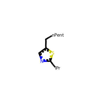 CCCCCCc1cnc(C(C)C)s1